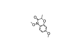 COc1ccc2c(c1)OC(C)C(=O)N2OC